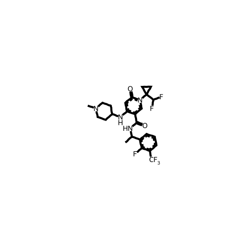 CC(NC(=O)c1cn(C2(C(F)F)CC2)c(=O)cc1NC1CCN(C)CC1)c1cccc(C(F)(F)F)c1F